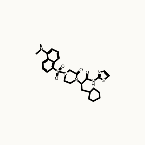 CN(C)c1cccc2c(S(=O)(=O)N3CCN(C(CC4CCCCC4)C(=O)Nc4nccs4)C(=O)C3)cccc12